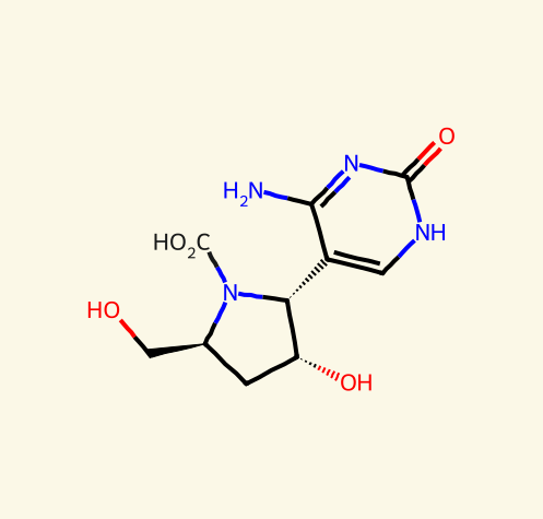 Nc1nc(=O)[nH]cc1[C@@H]1[C@H](O)C[C@@H](CO)N1C(=O)O